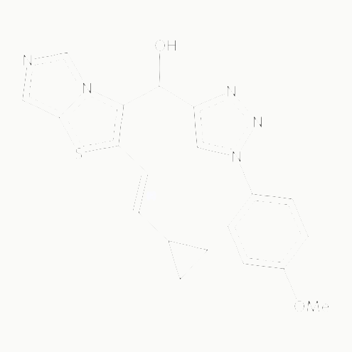 COc1ccc(-n2cc(C(O)c3c(/C=C/C4CC4)sc4cncn34)nn2)cc1